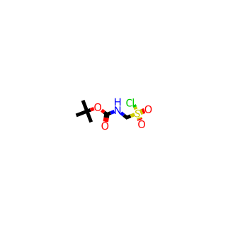 CC(C)(C)OC(=O)NCS(=O)(=O)Cl